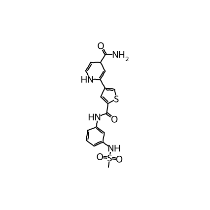 CS(=O)(=O)Nc1cccc(NC(=O)c2cc(C3=CC(C(N)=O)C=CN3)cs2)c1